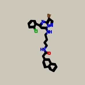 O=C(Cc1ccc2ccccc2c1)NCCCCNc1cc(-c2ccccc2Cl)nc2c(Br)cnn12